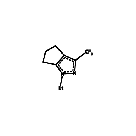 CCn1nc(C(F)(F)F)c2c1CCC2